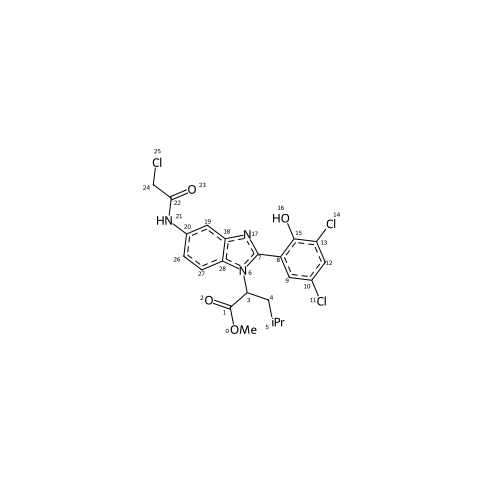 COC(=O)C(CC(C)C)n1c(-c2cc(Cl)cc(Cl)c2O)nc2cc(NC(=O)CCl)ccc21